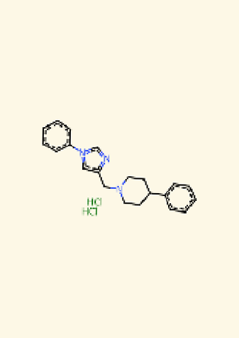 Cl.Cl.c1ccc(C2CCN(Cc3cn(-c4ccccc4)cn3)CC2)cc1